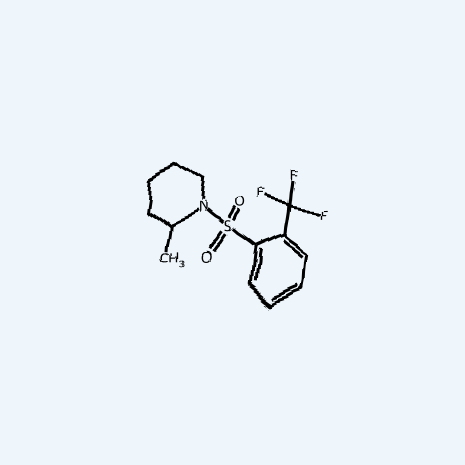 CC1CCCCN1S(=O)(=O)c1ccccc1C(F)(F)F